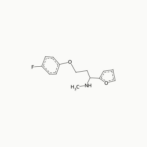 CNC(CCOc1ccc(F)cc1)c1ccco1